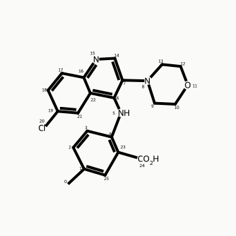 Cc1ccc(Nc2c(N3CCOCC3)cnc3ccc(Cl)cc23)c(C(=O)O)c1